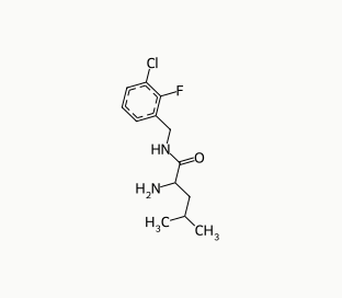 CC(C)CC(N)C(=O)NCc1cccc(Cl)c1F